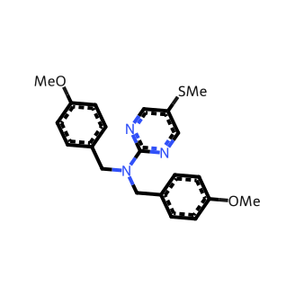 COc1ccc(CN(Cc2ccc(OC)cc2)c2ncc(SC)cn2)cc1